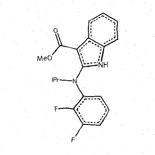 COC(=O)c1c(N(c2cccc(F)c2F)C(C)C)[nH]c2ccccc12